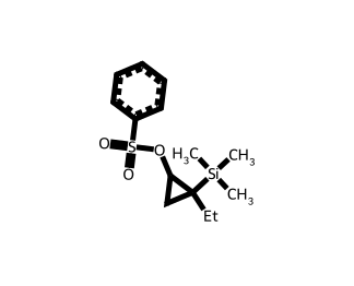 CCC1([Si](C)(C)C)CC1OS(=O)(=O)c1ccccc1